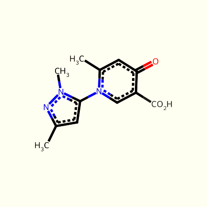 Cc1cc(-n2cc(C(=O)O)c(=O)cc2C)n(C)n1